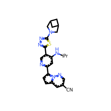 CC(C)Nc1cc(-c2ccc3cc(C#N)cnn23)ncc1-c1nnc(N2CC3CC(C3)C2)s1